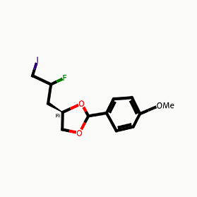 COc1ccc(C2OC[C@@H](CC(F)CI)O2)cc1